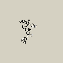 COc1cc2ncnc(Nc3ccc(Oc4ccn5ncnc5c4)c(Cl)c3)c2cc1NC1CCNCC1